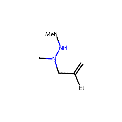 C=C(CC)CN(C)NNC